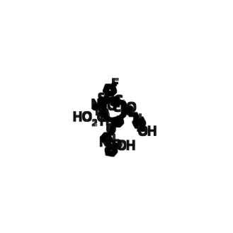 O=C(O)[C@H]1Cc2cc(ccc2OCc2ccnc(-c3ccccc3OO)n2)CN(C(=O)CCN2CCN(O)CC2)Cc2ccc(c(O)c2Cl)-c2c(-c3ccc(F)cc3)sc3ncnc(c23)O1